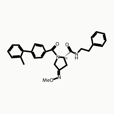 CON=C1C[C@@H](C(=O)NCCc2ccccc2)N(C(=O)c2ccc(-c3ccccc3C)cc2)C1